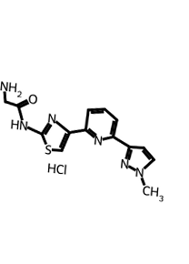 Cl.Cn1ccc(-c2cccc(-c3csc(NC(=O)CN)n3)n2)n1